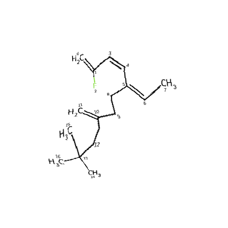 C=C(F)/C=C\C(=C/C)CCC(=C)CC(C)(C)C